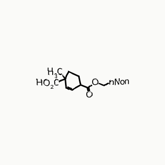 CCCCCCCCCCOC(=O)C1C=CC(C)(C(=O)O)CC1